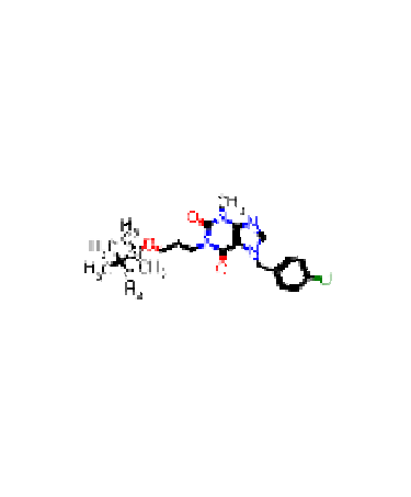 Cn1c(=O)n(CCCO[Si](C)(C)C(C)(C)C)c(=O)c2c1ncn2Cc1ccc(Cl)cc1